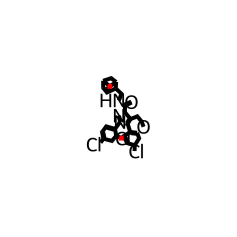 CC1(C)C2CCC(CNC(=O)c3nn(C4=CC=C(Cl)CC4Cl)c4c3CCOC3=C4C=CC(Cl)C3)C1C2